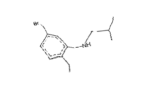 Cc1ccc(Br)cc1NCC(C)C